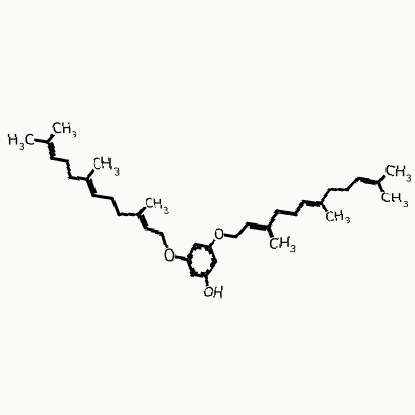 CC(C)=CCC/C(C)=C/CC/C(C)=C/COc1cc(O)cc(OC/C=C(\C)CC/C=C(\C)CCC=C(C)C)c1